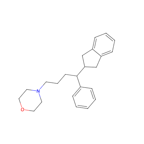 c1ccc(C(CCCN2CCOCC2)C2Cc3ccccc3C2)cc1